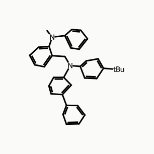 CN(c1ccccc1)c1ccccc1CN(c1ccc(C(C)(C)C)cc1)c1cccc(-c2ccccc2)c1